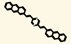 C(=C\c1cnc(/C=C/c2ccc3cc4ccccc4cc3c2)cn1)/c1ccc2cc3ccccc3cc2c1